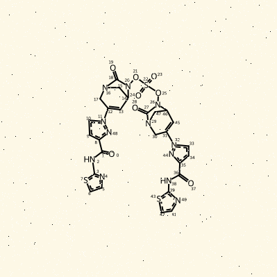 O=C(Nc1nccs1)c1ccn(C2=CC3CN(C2)C(=O)N3OS(=O)(=O)ON2C(=O)N3CC(n4ccc(C(=O)Nc5nccs5)n4)=CC2C3)n1